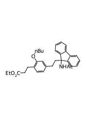 CCCCOc1cc(CCC2(NC(C)=O)c3ccccc3-c3ccccc32)ccc1CCC(=O)OCC